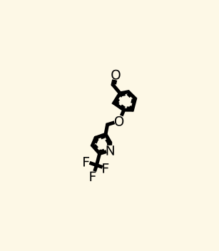 O=Cc1cccc(OCc2ccc(C(F)(F)F)nc2)c1